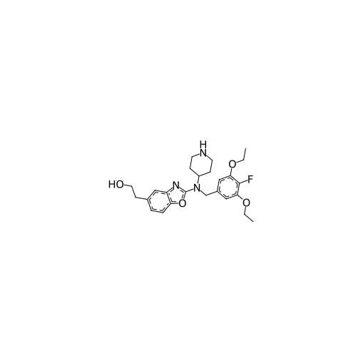 CCOc1cc(CN(c2nc3cc(CCO)ccc3o2)C2CCNCC2)cc(OCC)c1F